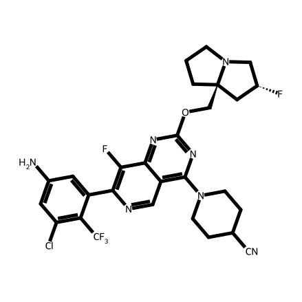 N#CC1CCN(c2nc(OC[C@@]34CCCN3C[C@H](F)C4)nc3c(F)c(-c4cc(N)cc(Cl)c4C(F)(F)F)ncc23)CC1